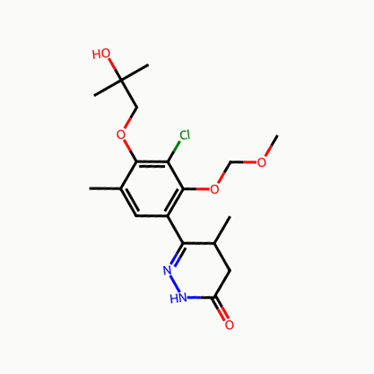 COCOc1c(C2=NNC(=O)CC2C)cc(C)c(OCC(C)(C)O)c1Cl